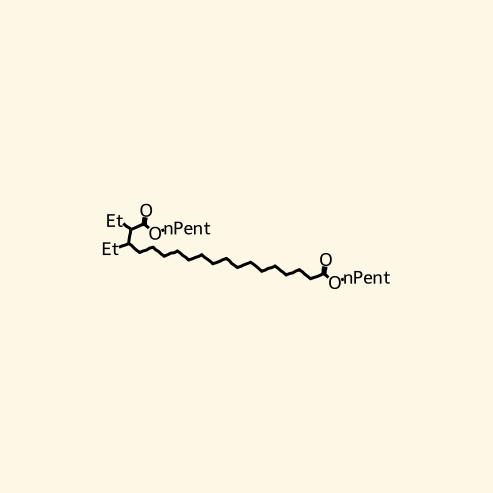 CCCCCOC(=O)CCCCCCCCCCCCCCCC(CC)C(CC)C(=O)OCCCCC